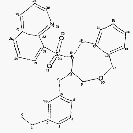 CCc1cccc(CC2COCc3ccccc3CN2S(=O)(=O)c2cccc3cccnc23)c1